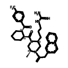 C=C(Cc1ccc2ccccc2c1)N1C[C@H](CCCNC(=N)N)N(C(=O)[C@H]2CCCC[C@@H]2C(=O)c2ccc(C(F)(F)F)cc2)C[C@H]1C